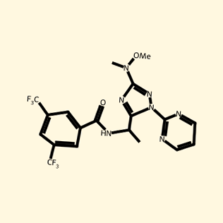 CON(C)c1nc(C(C)NC(=O)c2cc(C(F)(F)F)cc(C(F)(F)F)c2)n(-c2ncccn2)n1